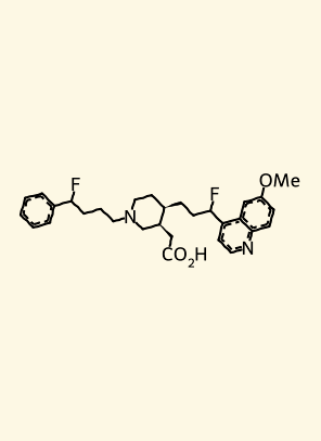 COc1ccc2nccc(C(F)CC[C@@H]3CCN(CCCC(F)c4ccccc4)C[C@@H]3CC(=O)O)c2c1